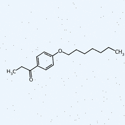 CCCCCCCOc1ccc(C(=O)CC)cc1